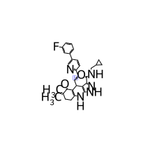 CC1(C)CCC2=C(C1=O)C(/C=C/c1ccc(-c3cccc(F)c3)cn1)c1c(C(=O)NCC3CC3)n[nH]c1N2